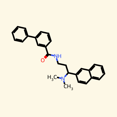 CN(C)C(CCNC(=O)c1cccc(-c2ccccc2)c1)c1ccc2ccccc2c1